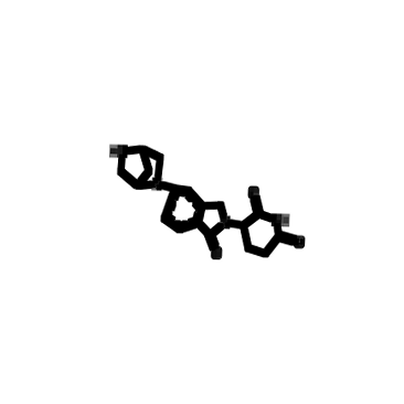 O=C1CCC(N2Cc3cc(N4CC5CC4CN5)ccc3C2=O)C(=O)N1